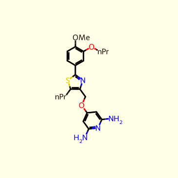 CCCOc1cc(-c2nc(COc3cc(N)nc(N)c3)c(CCC)s2)ccc1OC